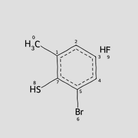 Cc1cccc(Br)c1S.F